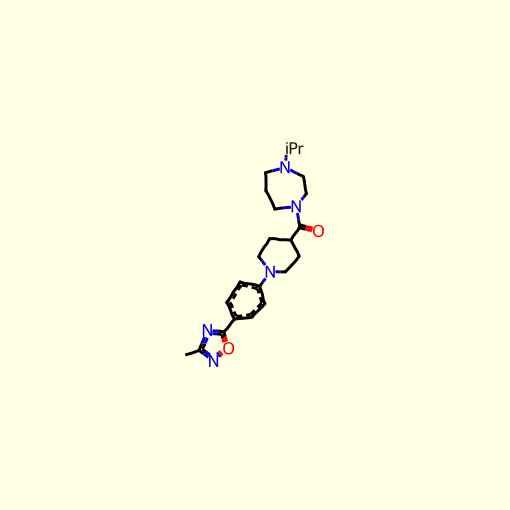 Cc1noc(-c2ccc(N3CCC(C(=O)N4CCCN(C(C)C)CC4)CC3)cc2)n1